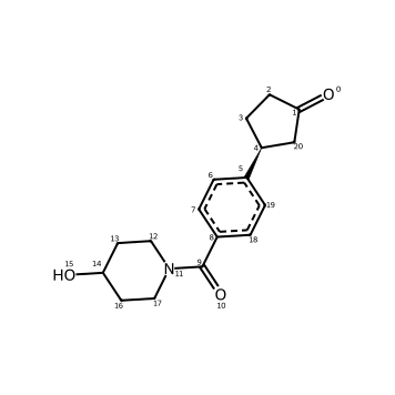 O=C1CC[C@H](c2ccc(C(=O)N3CCC(O)CC3)cc2)C1